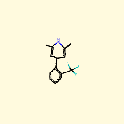 CC1=CC(c2ccccc2C(F)(F)F)C=C(C)N1